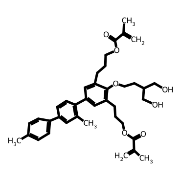 C=C(C)C(=O)OCCCc1cc(-c2ccc(-c3ccc(C)cc3)cc2C)cc(CCCOC(=O)C(=C)C)c1OCCC(CO)CO